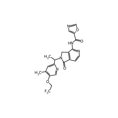 Cc1cc(C(C)N2Cc3c(ccnc3NC(=O)c3cnco3)C2=O)ncc1OCC(F)(F)F